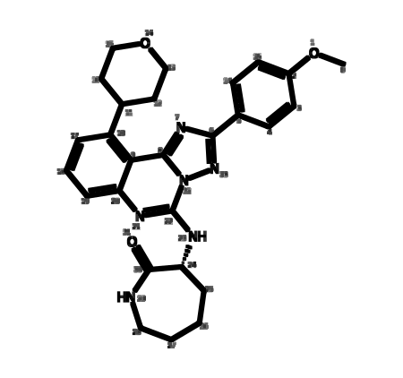 COc1ccc(-c2nc3c4c(C5CCOCC5)cccc4nc(N[C@@H]4CCCCNC4=O)n3n2)cc1